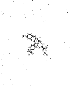 COc1nc2ccc(Br)cc2cc1C(c1ccc(S(C)(=O)=O)cc1)C1(O)CCN(C(=O)OC(C)(C)C)CC1